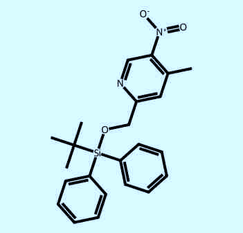 Cc1cc(CO[Si](c2ccccc2)(c2ccccc2)C(C)(C)C)ncc1[N+](=O)[O-]